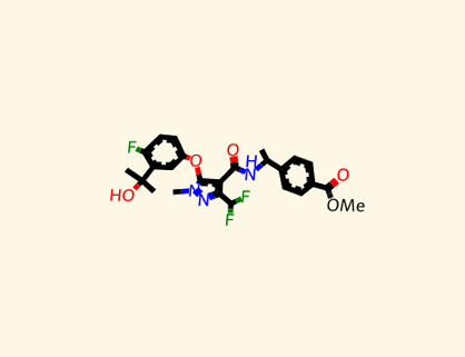 COC(=O)c1ccc(C(C)NC(=O)c2c(C(F)F)nn(C)c2Oc2ccc(F)c(C(C)(C)O)c2)cc1